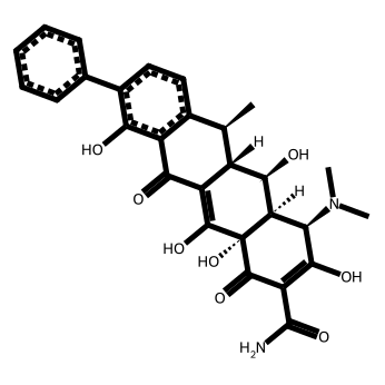 C[C@@H]1c2ccc(-c3ccccc3)c(O)c2C(=O)C2=C(O)[C@]3(O)C(=O)C(C(N)=O)=C(O)[C@H](N(C)C)[C@@H]3[C@H](O)[C@H]21